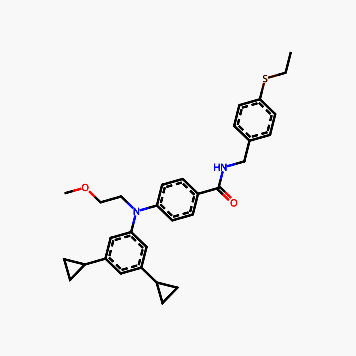 CCSc1ccc(CNC(=O)c2ccc(N(CCOC)c3cc(C4CC4)cc(C4CC4)c3)cc2)cc1